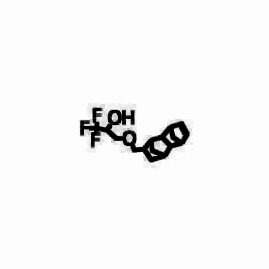 OC(COCC1CC2CC1C1C3C=CC(C3)C21)C(F)(F)F